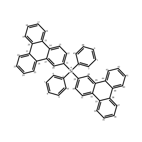 c1ccc([Si](c2ccccc2)(c2ccc3c4ccccc4c4ccccc4c3c2)c2ccc3c4ccccc4c4ccccc4c3c2)cc1